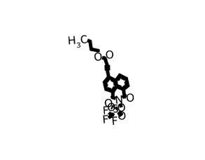 CCCCOC(=O)C#Cc1ccc2c3c(cccc13)C(=O)N(OS(=O)(=O)C(F)(F)F)C2=O